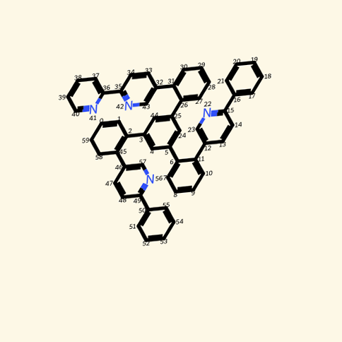 C1=CC(c2cc(-c3ccccc3-c3ccc(-c4ccccc4)nc3)cc(-c3ccccc3-c3ccc(-c4ccccn4)nc3)c2)=C(c2ccc(-c3ccccc3)nc2)CC1